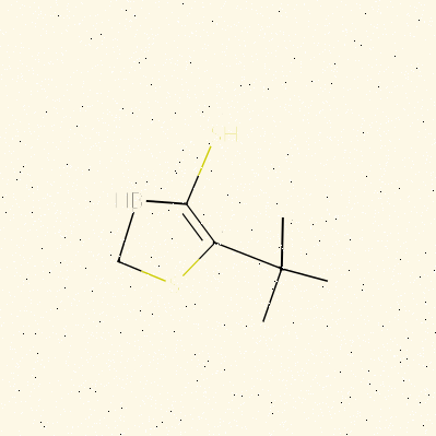 CC(C)(C)C1=C(S)BCS1